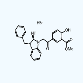 Br.COC(=O)c1cc(C(=O)Cn2c(=N)n(Cc3ccccc3)c3ccccc32)ccc1O